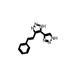 C(=Cc1nn[nH]c1-c1c[nH]nn1)c1ccccc1